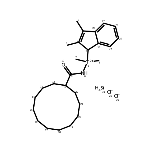 CC1=C(C)[CH]([Ti+2]([CH3])([CH3])[NH]C(=O)C2CCCCCCCCCCC2)c2ccccc21.[Cl-].[Cl-].[SiH4]